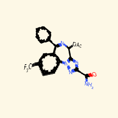 CC(=O)OC1N=C(c2ccccc2)c2cc(C(F)(F)F)ccc2-n2nc(C(N)=O)nc21